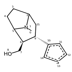 CN1C2CCC1[C@H](CO)[C@@H](c1ccsc1)C2